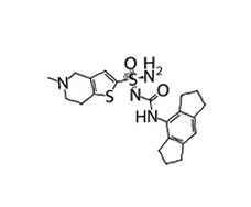 CN1CCc2sc([S@](N)(=O)=NC(=O)Nc3c4c(cc5c3CCC5)CCC4)cc2C1